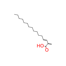 C=C(C=CCCCCCCCCCCCC)C(=O)O